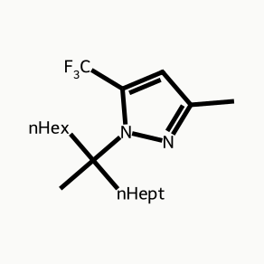 CCCCCCCC(C)(CCCCCC)n1nc(C)cc1C(F)(F)F